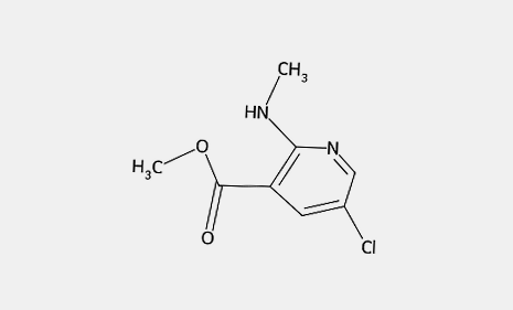 CNc1ncc(Cl)cc1C(=O)OC